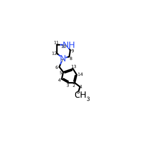 CCc1ccc(CN2CCNCC2)cc1